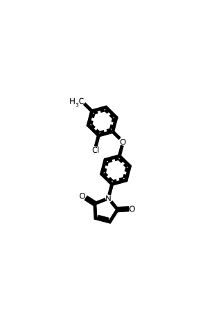 Cc1ccc(Oc2ccc(N3C(=O)C=CC3=O)cc2)c(Cl)c1